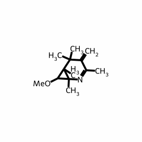 C=C1C(C)=NC2(C)C(OC)C2(C)C1(C)C